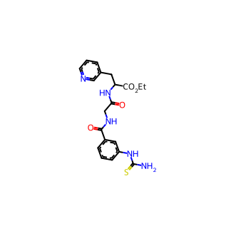 CCOC(=O)C(Cc1cccnc1)NC(=O)CNC(=O)c1cccc(NC(N)=S)c1